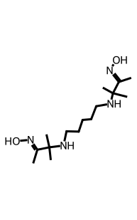 C/C(=N\O)C(C)(C)NCCCCCNC(C)(C)/C(C)=N/O